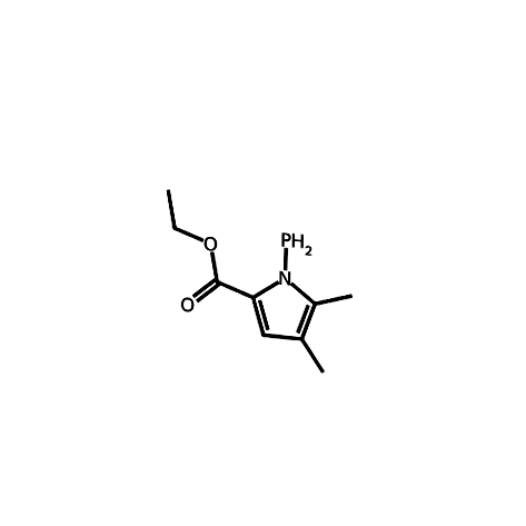 CCOC(=O)c1cc(C)c(C)n1P